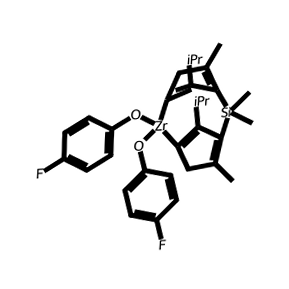 CC1=C2C(C(C)C)=[C](C1)[Zr]([O]c1ccc(F)cc1)([O]c1ccc(F)cc1)[C]1=C(C(C)C)C(=C(C)C1)[Si]2(C)C